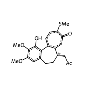 COc1cc2c(c(O)c1OC)-c1ccc(SC)c(=O)cc1[C@@H](CC(C)=O)CC2